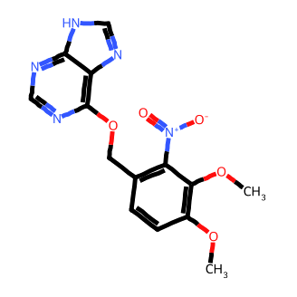 COc1ccc(COc2ncnc3[nH]cnc23)c([N+](=O)[O-])c1OC